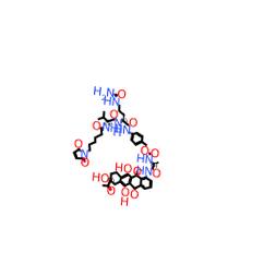 CC(=O)[C@@]1(O)CCc2c(O)c3c(c(O)c2C1)C(=O)c1cccc(NC(=O)[C@H](C)NC(=O)OCc2ccc(NC(=O)[C@H](CCCNC(N)=O)NC(=O)[C@@H](NC(=O)CCCCCN4C(=O)C=CC4=O)C(C)C)cc2)c1C3=O